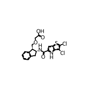 O=C(O)COC[C@@H]1c2ccccc2C[C@H]1NC(=O)c1cc2sc(Cl)c(Cl)c2[nH]1